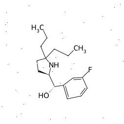 CCCC1(CCC)CC[C@H]([C@@H](O)c2cccc(F)c2)N1